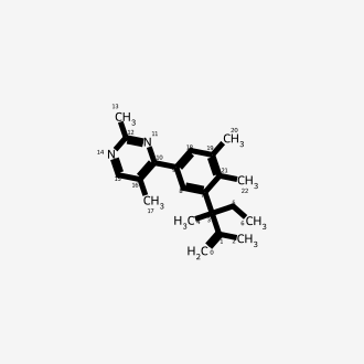 C=C(C)C(C)(CC)c1cc(-c2nc(C)ncc2C)cc(C)c1C